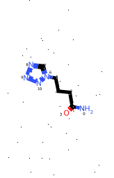 NC(=O)CCCn1[c]nnn1